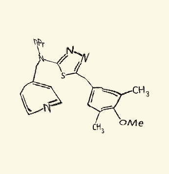 CCCN(Cc1ccncc1)c1nnc(-c2cc(C)c(OC)c(C)c2)s1